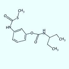 CCC(CC)NC(=O)Oc1cccc(NC(=O)SC)c1